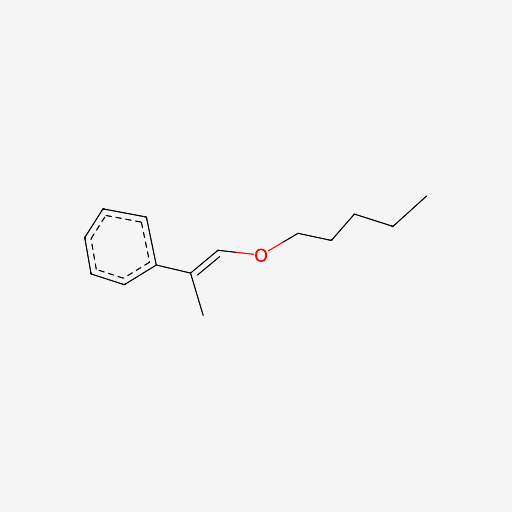 CCCCCOC=C(C)c1ccccc1